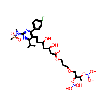 CC(C)c1nc(N(C)S(C)(=O)=O)nc(-c2ccc(F)cc2)c1/C=C/C(O)CC(O)CC(=O)OCCCOCC(ON(O)O)C(C)ON(O)O